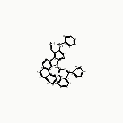 N=Cc1c(Nc2ccccc2)ccc2c1c1ccc3ccc4ccccc4c3c1n2-c1nc(-c2ccccc2)c2ccccc2n1